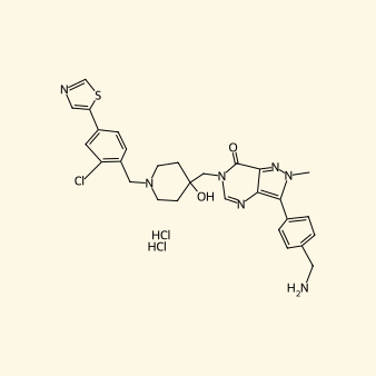 Cl.Cl.Cn1nc2c(=O)n(CC3(O)CCN(Cc4ccc(-c5cncs5)cc4Cl)CC3)cnc2c1-c1ccc(CN)cc1